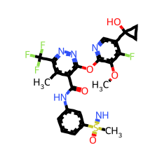 COc1c(Oc2nnc(C(F)(F)F)c(C)c2C(=O)Nc2cccc(S(C)(=N)=O)c2)ncc(C2(O)CC2)c1F